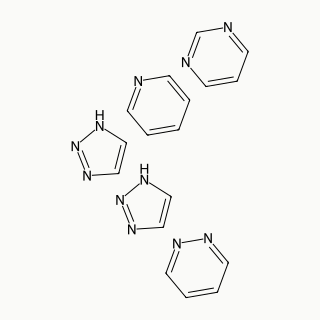 c1c[nH]nn1.c1c[nH]nn1.c1ccncc1.c1ccnnc1.c1cncnc1